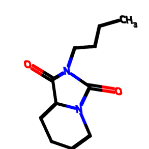 CCCCN1C(=O)C2CCCCN2C1=O